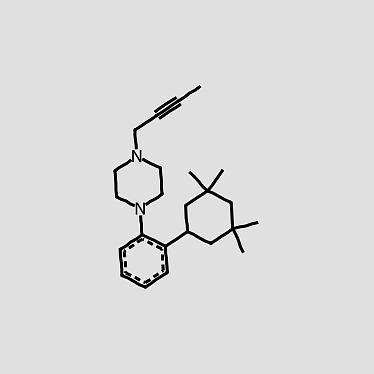 CC#CCN1CCN(c2ccccc2C2CC(C)(C)CC(C)(C)C2)CC1